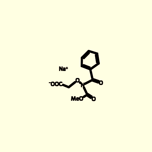 COC(=O)N(OCC(=O)[O-])C(=O)c1ccccc1.[Na+]